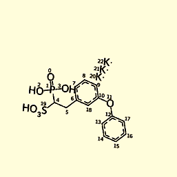 O=P(O)(O)C(Cc1cccc(Oc2ccccc2)c1)S(=O)(=O)O.[K].[K].[K]